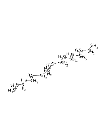 [SiH3][SiH2][SiH2][SiH2][SiH2][SiH2][SiH2][SiH2][SiH2][SiH2][SiH2][SiH2][SiH2][SiH2][SiH2][SiH2][SiH2][SiH3]